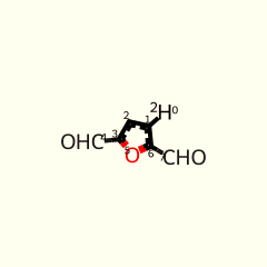 [2H]c1cc(C=O)oc1C=O